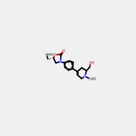 CC(=O)NC[C@H]1CN(c2ccc(C3=CCN(C=O)C(CO)C3)cc2)C(=O)O1